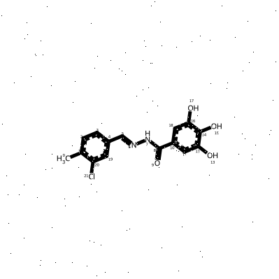 Cc1ccc(/C=N/NC(=O)c2cc(O)c(O)c(O)c2)cc1Cl